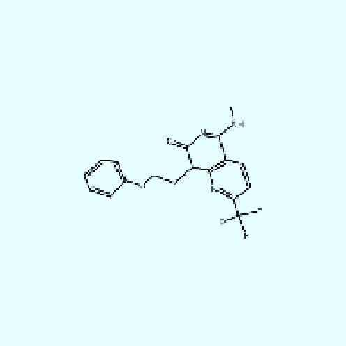 CNC1=NC(=O)C(CCOc2ccccc2)c2nc(C(F)(F)F)ccc21